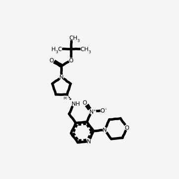 CC(C)(C)OC(=O)N1CC[C@@H](NCc2ccnc(N3CCOCC3)c2[N+](=O)[O-])C1